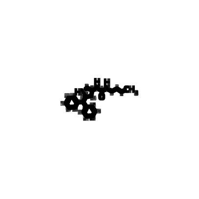 CCCCNC(=O)NC1CNC(C(c2ccccc2)c2ccccc2)C1